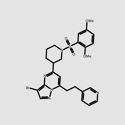 COc1ccc(OC)c(S(=O)(=O)N2CCCC(c3cc(CCc4cccnc4)n4ncc(Br)c4n3)C2)c1